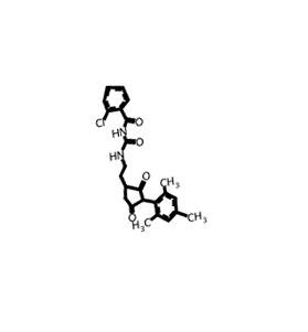 Cc1cc(C)c(C2C(=O)CC(CCNC(=O)NC(=O)c3ccccc3Cl)C2=O)c(C)c1